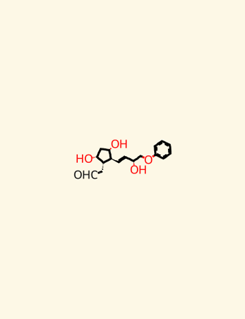 O=CC[C@H]1[C@H](C=C[C@@H](O)COc2ccccc2)[C@@H](O)C[C@H]1O